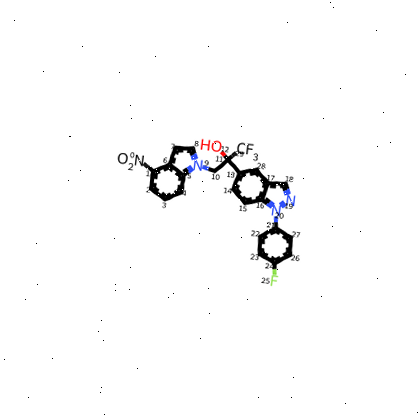 O=[N+]([O-])c1cccc2c1ccn2CC(O)(c1ccc2c(cnn2-c2ccc(F)cc2)c1)C(F)(F)F